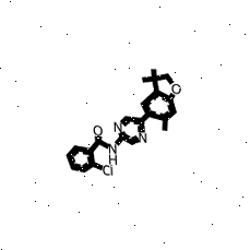 Cc1cc2c(cc1-c1cnc(NC(=O)c3ccccc3Cl)cn1)C(C)(C)CO2